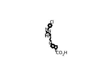 O=C(O)C[C@@H]1CCc2cc(OCCCNCc3nc(-c4ccc(Cl)cc4)ncc3F)ccc21